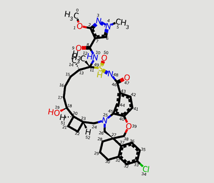 COc1nn(C)cc1C(=O)N[C@@]1(C)[C@@H](C)CCC[C@H](O)[C@@H]2CC[C@H]2CN2C[C@@]3(CCCc4cc(Cl)ccc43)COc3ccc(cc32)C(=O)/N=[SH]\1=O